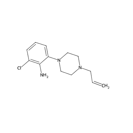 C=CCN1CCN(c2cccc(Cl)c2N)CC1